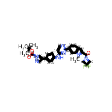 Cn1c(C(=O)N2CC(F)(F)C2)cc2ccc(-c3nccc(Nc4ccc(-c5cnn(C(=O)OC(C)(C)C)c5)cc4)n3)cc21